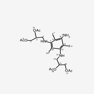 CC(=O)OCC(CNc1c(I)c(N)c(I)c(NCC(COC(C)=O)OC(C)=O)c1I)OC(C)=O